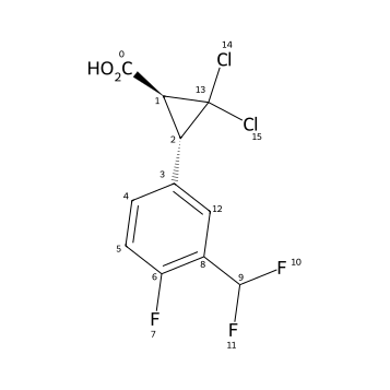 O=C(O)[C@@H]1[C@@H](c2ccc(F)c(C(F)F)c2)C1(Cl)Cl